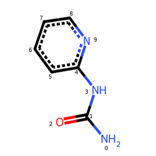 NC(=O)Nc1ccccn1